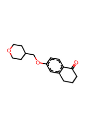 O=C1CCCc2cc(OCC3CCOCC3)ccc21